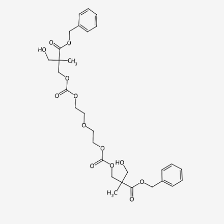 CC(CO)(COC(=O)OCCOCCOC(=O)OCC(C)(CO)C(=O)OCc1ccccc1)C(=O)OCc1ccccc1